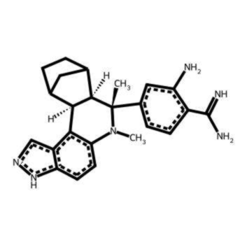 CN1c2ccc3[nH]ncc3c2[C@H]2C3CCC(C3)[C@H]2[C@]1(C)c1ccc(C(=N)N)c(N)c1